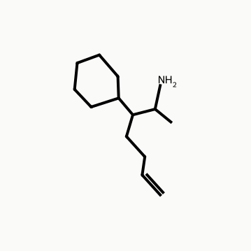 C=CCCC(C(C)N)C1CCCCC1